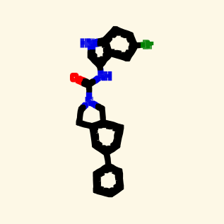 O=C(Nc1c[nH]c2ccc(Br)cc12)N1CCc2cc(-c3ccccc3)ccc2C1